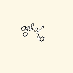 N#CC[N+]1(CCOc2ccccc2)CCC(N2CC(c3ccccc3)(c3ccccc3)NC2=O)C1